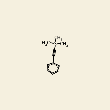 C[Si](C)(C)C#Cc1c[c]ccc1